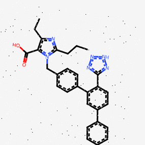 CCCc1nc(CC)c(C(=O)O)n1Cc1ccc(-c2cc(-c3ccccc3)ccc2-c2nn[nH]n2)cc1